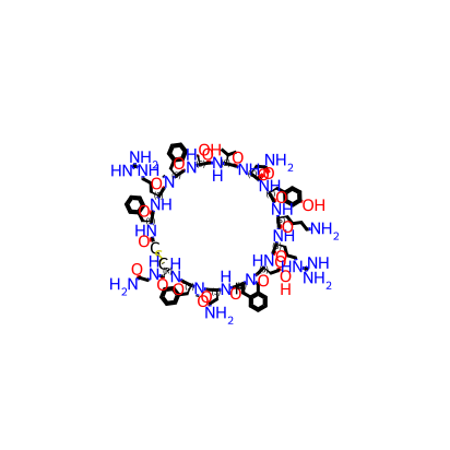 CC(C)[C@@H]1NC(=O)[C@H](CO)NC(=O)[C@H](Cc2ccccc2)N(C)C(=O)[C@H](CCCNC(=N)N)NC(=O)[C@H](Cc2ccccc2)NC(=O)CSC[C@@H](C(=O)NCC(N)=O)NC(=O)[C@H](Cc2ccccc2)N(C)C(=O)[C@H](CC(N)=O)NC(=O)[C@@H]2Cc3ccccc3CN2C(=O)[C@H](CC(=O)O)NC(=O)[C@H](CCCNC(=N)N)NC(=O)[C@H](CCCCN)NC(=O)[C@H](Cc2ccc(O)cc2)NC(=O)[C@H](CC(N)=O)NC1=O